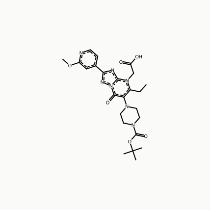 CCc1c(N2CCN(C(=O)OC(C)(C)C)CC2)c(=O)n2nc(-c3ccnc(OC)c3)nc2n1CC(=O)O